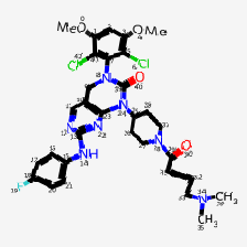 COc1cc(OC)c(Cl)c(N2Cc3cnc(Nc4ccc(F)cc4)nc3N(C3CCN(C(=O)C=CCN(C)C)CC3)C2=O)c1Cl